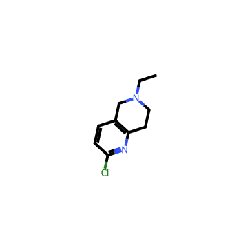 CCN1CCc2nc(Cl)ccc2C1